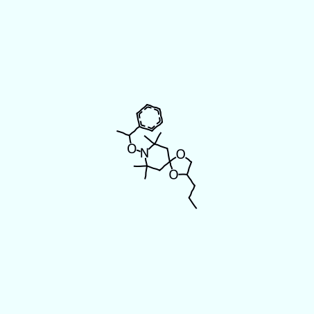 CCCC1COC2(CC(C)(C)N(OC(C)c3ccccc3)C(C)(C)C2)O1